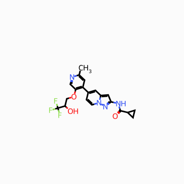 Cc1cc(-c2ccn3nc(NC(=O)C4CC4)cc3c2)c(OCC(O)C(F)(F)F)cn1